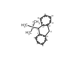 C[Si](C)(C)C1c2ccccc2Cc2ccccc21